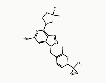 CC(C)(C)c1nc(N2CCC(F)(F)C2)c2nnn(Cc3ccc(C4(C(F)(F)F)C=N4)cc3Cl)c2n1